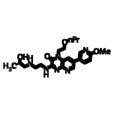 CCCOCCn1c(=O)c(NCCNC[C@H](C)O)nc2ncc(-c3ccc(OC)nc3)cc21